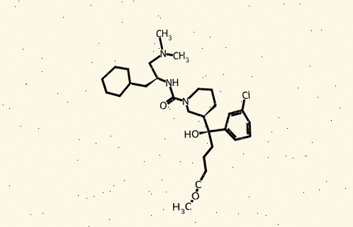 COCCCC[C@@](O)(c1cccc(Cl)c1)[C@@H]1CCCN(C(=O)N[C@@H](CC2CCCCC2)CN(C)C)C1